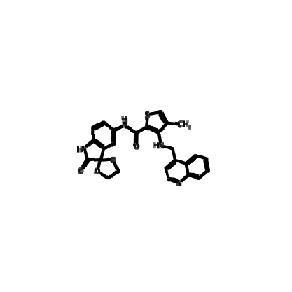 Cc1csc(C(=O)Nc2ccc3c(c2)C2(OCCO2)C(=O)N3)c1NCc1ccnc2ccccc12